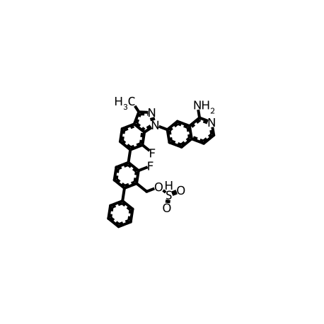 Cc1nn(-c2ccc3ccnc(N)c3c2)c2c(F)c(-c3ccc(-c4ccccc4)c(CO[SH](=O)=O)c3F)ccc12